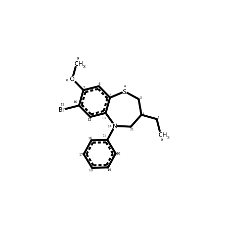 CCC1CSc2cc(OC)c(Br)cc2N(c2ccccc2)C1